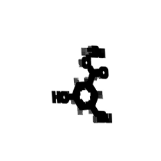 CCC(C)c1cc(O)cc(C(=O)OC(C)(C)C)c1